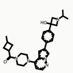 CC1CC(C(=O)N2CCN(c3ccnn4cc(-c5ccc(C6(O)CN(C(C)C)C6)cc5)cc34)CC2)C1